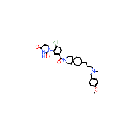 COc1ccc(CN(C)CCCC2CCC3(CC2)CCN(C(=O)c2ccc(Cl)c(-n4ccc(=O)[nH]c4=O)c2)CC3)cc1